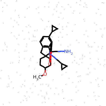 COC1CCC2(CC1)Cc1ccc(C3CC3)cc1C21N=C(N)N(C2CC2)C1=O